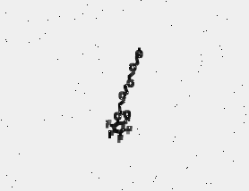 COCCOCCOCCOCCC(=O)Oc1c(F)c(F)c(F)c(F)c1F